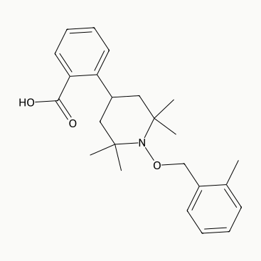 Cc1ccccc1CON1C(C)(C)CC(c2ccccc2C(=O)O)CC1(C)C